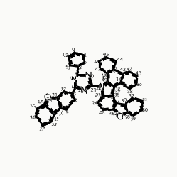 c1ccc(-c2nc(-c3ccc4c(c3)oc3ccccc34)nc(-n3c4ccc5oc6ccccc6c5c4c4c5ccccc5c5ccccc5c43)n2)cc1